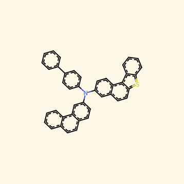 c1ccc(-c2ccc(N(c3ccc4c(ccc5sc6ccccc6c54)c3)c3ccc4ccc5ccccc5c4c3)cc2)cc1